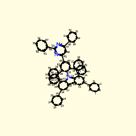 c1ccc(-c2cc(-c3ccccc3)c3c(c2)c2cc(-c4ccccc4)cc(-c4ccccc4)c2n3-c2c(-c3ccccc3)cc(-c3cc(-c4ccccc4)nc(-c4ccccc4)n3)cc2-c2ccccc2)cc1